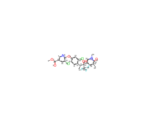 COC(=O)c1cnc(Oc2ccc([C@H](C)[C@](O)(c3cc(C)c(=O)n(C)c3)C(F)(F)F)c(Cl)c2)c(Cl)c1